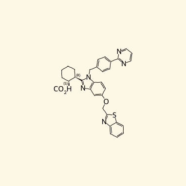 O=C(O)[C@H]1CCCC[C@H]1c1nc2cc(OCc3nc4ccccc4s3)ccc2n1Cc1ccc(-c2ncccn2)cc1